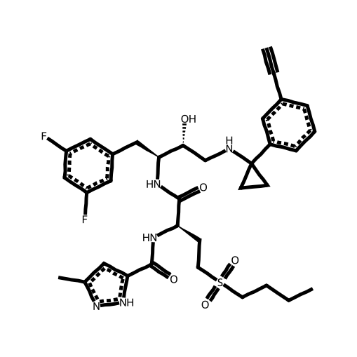 C#Cc1cccc(C2(NC[C@@H](O)[C@H](Cc3cc(F)cc(F)c3)NC(=O)[C@@H](CCS(=O)(=O)CCCC)NC(=O)c3cc(C)n[nH]3)CC2)c1